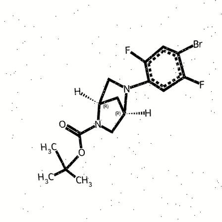 CC(C)(C)OC(=O)N1C[C@H]2C[C@@H]1CN2c1cc(F)c(Br)cc1F